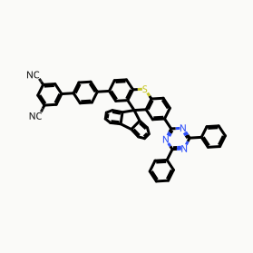 N#Cc1cc(C#N)cc(-c2ccc(-c3ccc4c(c3)C3(c5cc(-c6nc(-c7ccccc7)nc(-c7ccccc7)n6)ccc5S4)c4ccccc4-c4ccccc43)cc2)c1